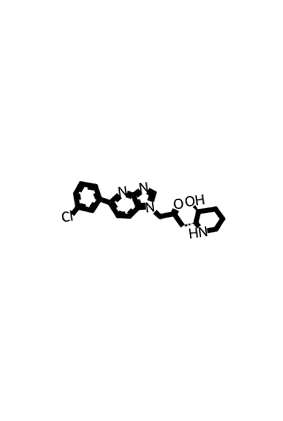 O=C(C[C@H]1NCCC[C@@H]1O)Cn1cnc2nc(-c3cccc(Cl)c3)ccc21